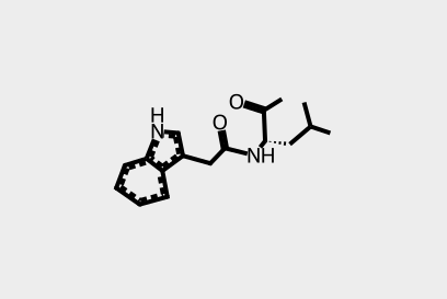 CC(=O)[C@H](CC(C)C)NC(=O)Cc1c[nH]c2ccccc12